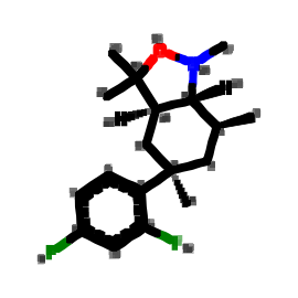 C[C@H]1C[C@@](C)(c2ccc(F)cc2F)C[C@@H]2[C@@H]1N(C)OC2(C)C